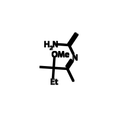 C=C(N)/N=C(/C)C(C)(CC)OC